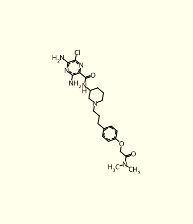 CN(C)C(=O)COc1ccc(CCCN2CCCC(NC(=O)c3nc(Cl)c(N)nc3N)C2)cc1